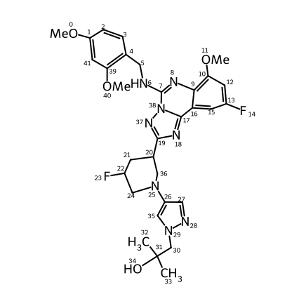 COc1ccc(CNc2nc3c(OC)cc(F)cc3c3nc(C4CC(F)CN(c5cnn(CC(C)(C)O)c5)C4)nn23)c(OC)c1